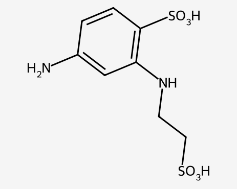 Nc1ccc(S(=O)(=O)O)c(NCCS(=O)(=O)O)c1